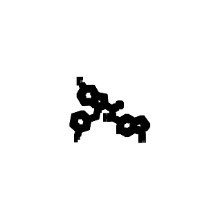 O=C(Nc1cc2cc[nH]c2cn1)c1cc2cc(F)ccc2n1Cc1cccc(F)c1